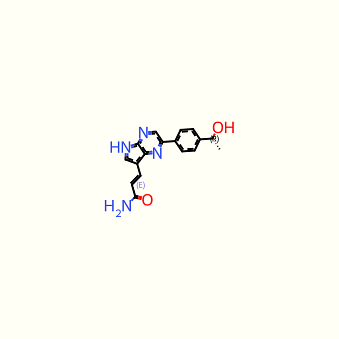 C[C@@H](O)c1ccc(-c2cnc3[nH]cc(/C=C/C(N)=O)c3n2)cc1